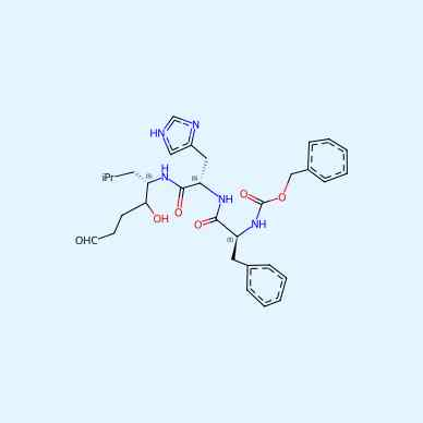 CC(C)C[C@H](NC(=O)[C@H](Cc1c[nH]cn1)NC(=O)[C@H](Cc1ccccc1)NC(=O)OCc1ccccc1)C(O)CCC=O